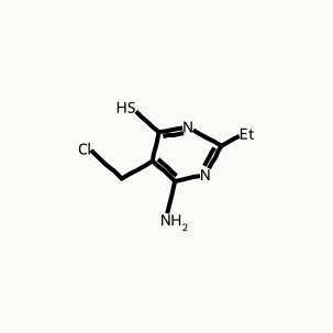 CCc1nc(N)c(CCl)c(S)n1